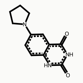 O=c1[nH]c(=O)c2cc(N3CCCC3)ccc2[nH]1